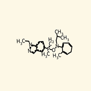 C=P(C)(ON(CC(C)C)C1=CC=CCC=C1C)c1ccc2c(cnn2CC)c1